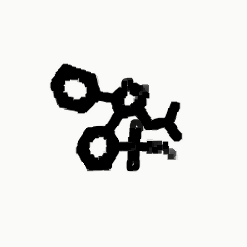 CC(C)Cc1noc(-c2ccccc2)c1-c1ccccc1S(N)(=O)=O